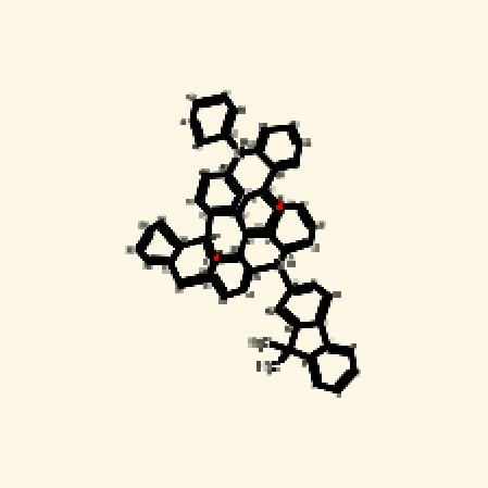 CC1(C)c2ccccc2-c2ccc(N(c3ccccc3)c3ccccc3C3=CC=C(c4ccccc4N(c4ccccc4)c4ccc(-c5cccc6ccccc56)cc4)CC3)cc21